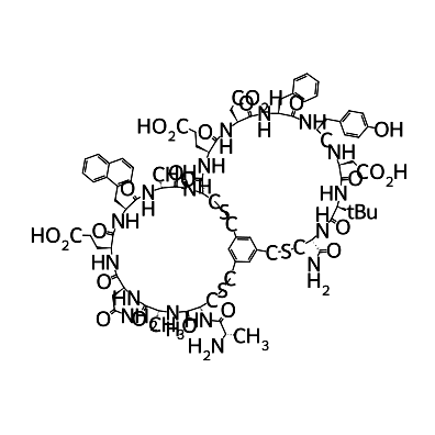 C[C@H](N)C(=O)N[C@H]1CSCc2cc3cc(c2)CSC[C@@H](NC(=O)[C@@H](C)NC(=O)[C@H](Cc2cccc4ccccc24)NC(=O)[C@H](CCC(=O)O)NC(=O)[C@H](CC(N)=O)NC(=O)[C@@H](C)NC1=O)C(=O)N[C@@H](CCC(=O)O)C(=O)N[C@@H](CC(=O)O)C(=O)N[C@@H](Cc1ccccc1)C(=O)N[C@@H](Cc1ccc(O)cc1)CN[C@@H](CC(=O)O)C(=O)N[C@@H](C(C)(C)C)C(=O)N[C@H](C(N)=O)CSC3